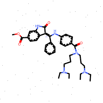 CCN(CC)CCCN(CCCN(CC)CC)C(=O)c1ccc(N/C(=C2\C(=O)Nc3cc(C(=O)OC)ccc32)c2ccccc2)cc1